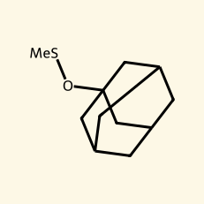 CSOC12CC3CC(CC(C3)C1)C2